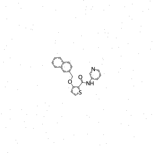 O=C(Nc1cccnc1)c1sccc1OCc1ccc2ccccc2c1